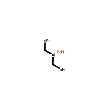 Br.CCC[CH2][Al][CH2]CCC